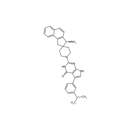 CC(C)c1cccc(-c2c[nH]c3nc(N4CCC5(CC4)Cc4c(ccc6ccccc46)[C@H]5N)[nH]c(=O)c23)c1